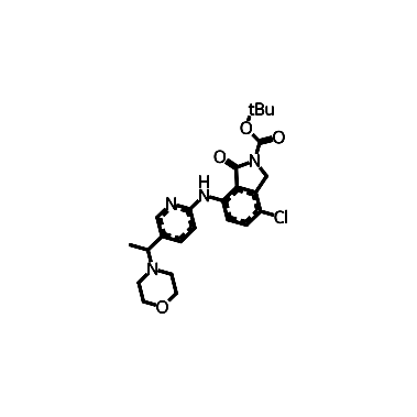 CC(c1ccc(Nc2ccc(Cl)c3c2C(=O)N(C(=O)OC(C)(C)C)C3)nc1)N1CCOCC1